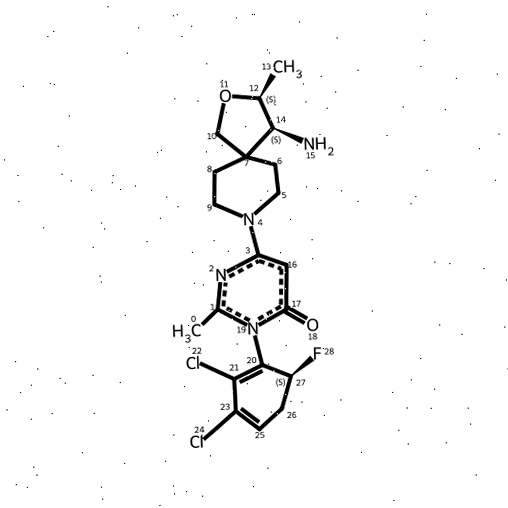 Cc1nc(N2CCC3(CC2)CO[C@@H](C)[C@H]3N)cc(=O)n1C1=C(Cl)C(Cl)=CC[C@@H]1F